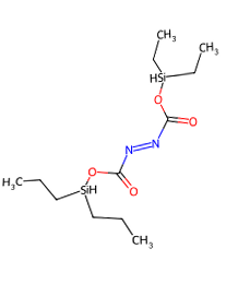 CCC[SiH](CCC)OC(=O)N=NC(=O)O[SiH](CC)CC